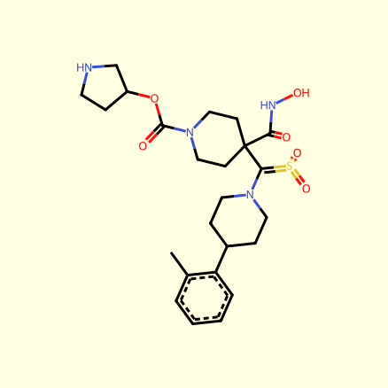 Cc1ccccc1C1CCN(C(=S(=O)=O)C2(C(=O)NO)CCN(C(=O)OC3CCNC3)CC2)CC1